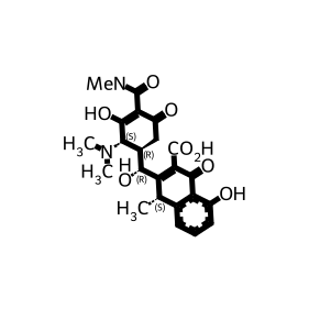 CNC(=O)C1=C(O)[C@@H](N(C)C)[C@H]([C@@H](O)C2=C(C(=O)O)C(=O)c3c(O)cccc3[C@@H]2C)CC1=O